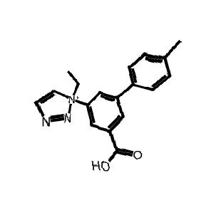 CC[N+]1(c2cc(C(=O)O)cc(-c3ccc(C)cc3)c2)C=CN=N1